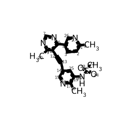 Cc1ccc(-c2ncnc(C)c2C#Cc2cnc(C)c(NS(C)(=O)=O)c2)cn1